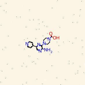 Nc1ncc(-c2ccncc2)nc1N1CCN(C(=O)O)CC1